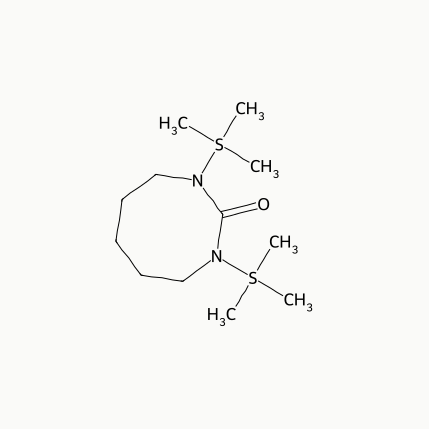 CS(C)(C)N1CCCCCN(S(C)(C)C)C1=O